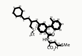 CCSCC(CCC1CCCCC1)Cc1ccc(C(=O)N[C@@H](CCSC)C(=O)O)c(-c2ccccc2C)c1